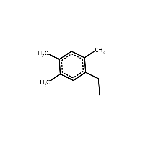 Cc1cc(C)c(CI)cc1C